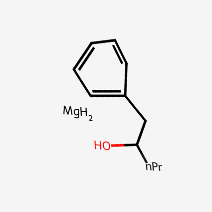 CCCC(O)Cc1ccccc1.[MgH2]